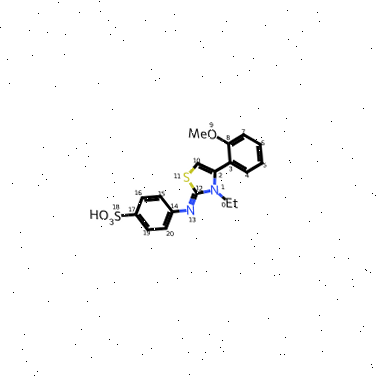 CCn1c(-c2ccccc2OC)cs/c1=N\c1ccc(S(=O)(=O)O)cc1